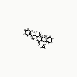 CC[C@H](C1OC(=O)C([C@H](c2ccccc2)C2CC2)=C(O)C1=O)[C@H](O)c1ccccc1